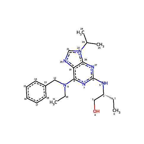 CC[C@H](CO)Nc1nc(N(CC)Cc2ccccc2)c2ncn(C(C)C)c2n1